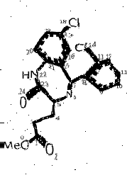 COC(=O)CC[C@@H]1N=C(c2ccccc2Cl)c2cc(Cl)ccc2NC1=O